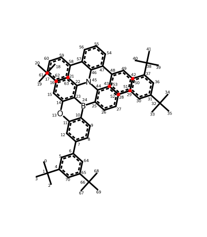 CC(C)(C)c1cc(-c2ccc3c(c2)Oc2cc(C(C)(C)C)cc4c2B3c2ccc(-c3cc(C(C)(C)C)cc(C(C)(C)C)c3)cc2N4c2c(-c3ccccc3)cccc2-c2ccccc2)cc(C(C)(C)C)c1